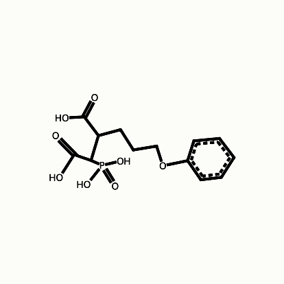 O=C(O)C(CCCOc1ccccc1)C(C(=O)O)P(=O)(O)O